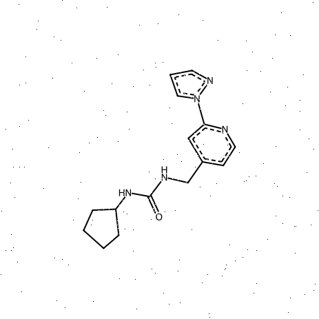 O=C(NCc1ccnc(-n2cccn2)c1)NC1CCCC1